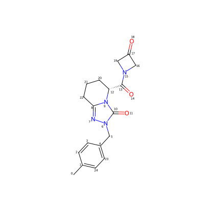 Cc1ccc(Cn2nc3n(c2=O)[C@@H](C(=O)N2CC(=O)C2)CCC3)cc1